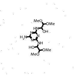 COC(OC)C(O)Nc1nc(N)nc(NC(O)C(OC)OC)n1